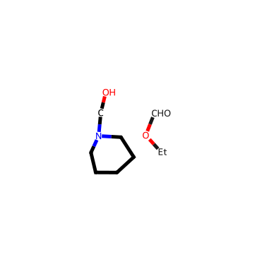 CCOC=O.OCN1CCCCC1